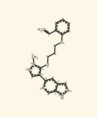 C=Cc1ccccc1OCCCOc1c(-c2cc3cn[nH]c3cn2)cnn1C